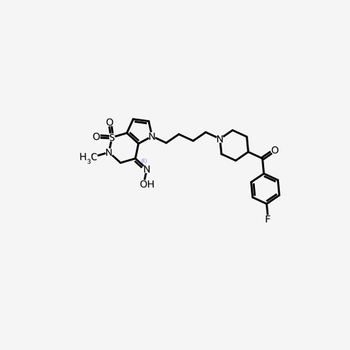 CN1C/C(=N\O)c2c(ccn2CCCCN2CCC(C(=O)c3ccc(F)cc3)CC2)S1(=O)=O